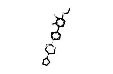 CCOc1ccc(-c2ccc([C@H]3OC[C@H](C4CCCC4)CO3)cc2)c(F)c1F